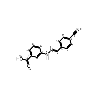 N#Cc1ccc(/C=N/Nc2cccc(C(=O)O)c2)cc1